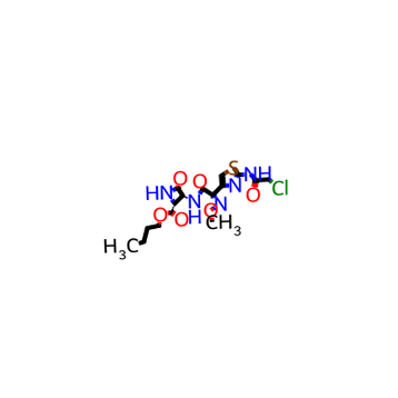 CCCCOC(=O)[C@@H]1NC(=O)[C@@H]1NC(=O)C(=NOC)c1csc(NC(=O)CCl)n1